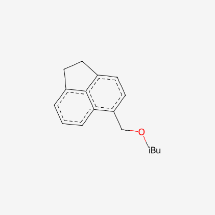 CCC(C)OCc1ccc2c3c(cccc13)CC2